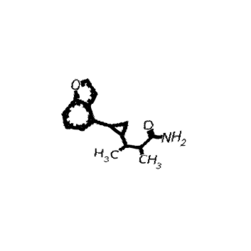 CC(C(N)=O)C(C)C1CC1c1cccc2occc12